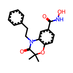 CC1(C)Oc2ccc(C(=O)NO)cc2N(CCc2ccccc2)C1=O